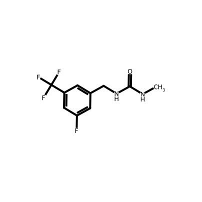 CNC(=O)NCc1cc(F)cc(C(F)(F)F)c1